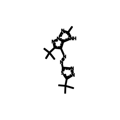 Cc1nn2nc(C(C)(C)C)c(N=Nc3nnc(C(C)(C)C)s3)c2[nH]1